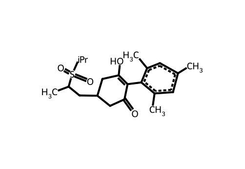 Cc1cc(C)c(C2=C(O)CC(CC(C)S(=O)(=O)C(C)C)CC2=O)c(C)c1